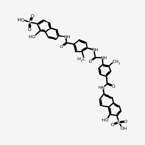 Cc1cc(C(=O)Nc2ccc3c(O)c(S(=O)(=O)O)ccc3c2)ccc1NC(=O)Nc1ccc(C(=O)Nc2ccc3c(O)c(S(=O)(=O)O)ccc3c2)cc1C